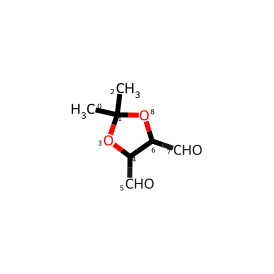 CC1(C)OC(C=O)C(C=O)O1